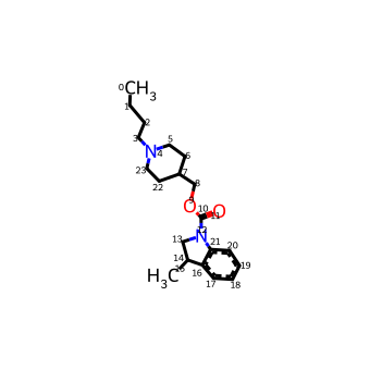 CCCCN1CCC(COC(=O)N2CC(C)c3ccccc32)CC1